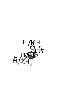 CN(C)c1ccc([C@H]2C[C@@]3(C)[C@@H](CC[C@@]3(O)C#CC(C)(C)C)[C@@H]3CCC4=CC5(CC[C@@H]4[C@H]32)SCCS5)cc1